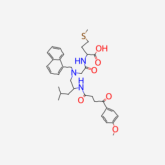 COc1ccc(C(=O)CCC(=O)NC(CC(C)C)CN(CC(=O)NC(CCSC)C(=O)O)Cc2cccc3ccccc23)cc1